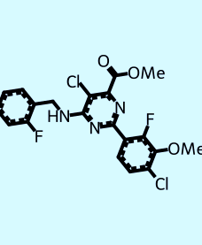 COC(=O)c1nc(-c2ccc(Cl)c(OC)c2F)nc(NCc2ccccc2F)c1Cl